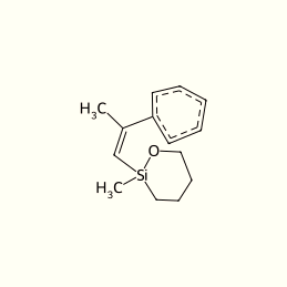 CC(=C[Si]1(C)CCCCO1)c1ccccc1